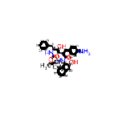 CC(C)(C)OC(=O)N[C@@H](Cc1ccccc1)[C@@H](O)C[C@@H](Cc1ccc(N)cc1)C(=O)N[C@H]1c2ccccc2C[C@H]1O